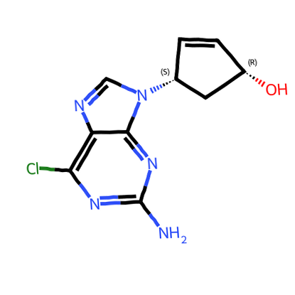 Nc1nc(Cl)c2ncn([C@@H]3C=C[C@H](O)C3)c2n1